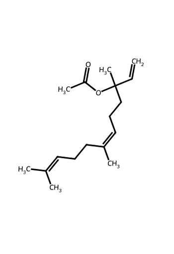 C=CC(C)(CCC=C(C)CCC=C(C)C)OC(C)=O